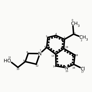 CC(C)c1ccc(N2CC(CO)C2)c2cnc(Cl)cc12